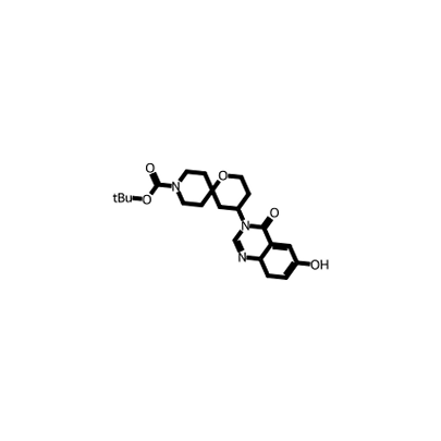 CC(C)(C)OC(=O)N1CCC2(CC1)CC(N1C=NC3CC=C(O)C=C3C1=O)CCO2